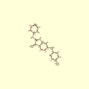 O=C1c2ccc(Oc3ccc(Cl)cc3)cc2CN1Cc1ccncc1